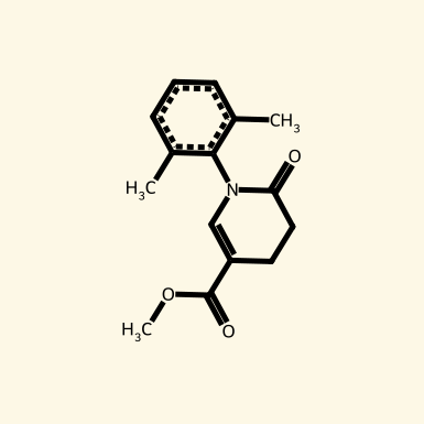 COC(=O)C1=CN(c2c(C)cccc2C)C(=O)CC1